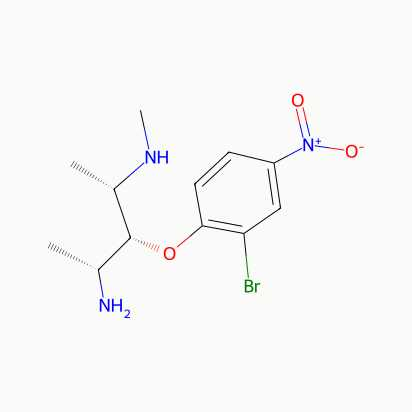 CN[C@@H](C)[C@H](Oc1ccc([N+](=O)[O-])cc1Br)[C@@H](C)N